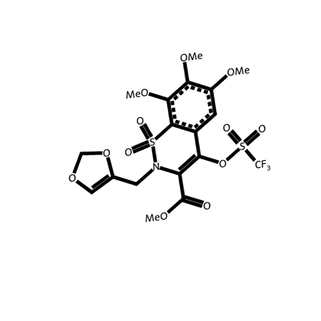 COC(=O)C1=C(OS(=O)(=O)C(F)(F)F)c2cc(OC)c(OC)c(OC)c2S(=O)(=O)N1CC1=COCO1